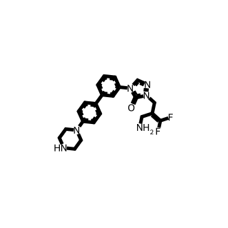 NCC(Cn1ncn(-c2cccc(-c3ccc(N4CCNCC4)cc3)c2)c1=O)=C(F)F